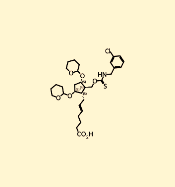 O=C(O)CCCC=CC[C@H]1[C@H](COC(=S)NCc2cccc(Cl)c2)[C@@H](OC2CCCCO2)C[C@@H]1OC1CCCCO1